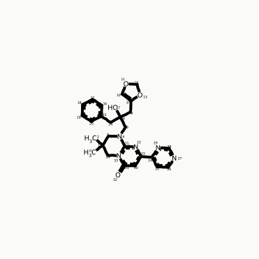 CC1(C)CN(CC(O)(CC2=COCO2)Cc2ccccc2)c2nc(-c3ccncn3)cc(=O)n2C1